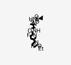 CCOc1cncc(-c2cnc(C(=O)NC(C)(C)c3csc(NS(=O)(=O)C4CC4)n3)c(F)c2)n1